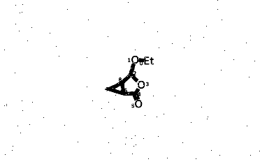 CCOC1OC(=O)C2CC12